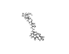 CC(C)(C)OC(=O)N1CCC(NCC(=O)CCCNc2cccc3c2C(=O)N(C2CCC(=O)NC2=O)C3=O)CC1